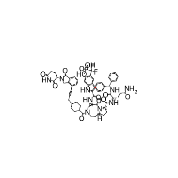 NC(=O)CC[C@H](NC(=O)[C@@H]1CC[C@@H]2CCN(C(=O)C3CCC(CC#Cc4cccc5c4CN(C4CCC(=O)NC4=O)C5=O)CC3)C[C@H](NC(=O)c3cc4cc(C(F)(F)P(=O)(O)O)ccc4[nH]3)C(=O)N21)C(=O)NC(c1ccccc1)c1ccccc1